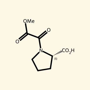 COC(=O)C(=O)N1CCC[C@H]1C(=O)O